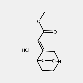 COC(=O)/C=C1\CN2CCC1CC2.Cl